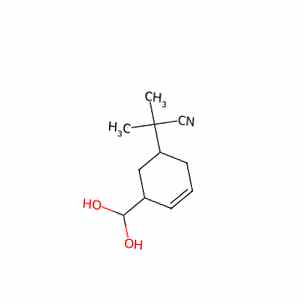 CC(C)(C#N)C1CC=CC(C(O)O)C1